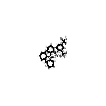 Cc1cccc(C)c1S(OS(=O)(=O)c1ccc(C(F)(F)F)cc1C(F)(F)F)(c1ccccc1)c1ccccc1